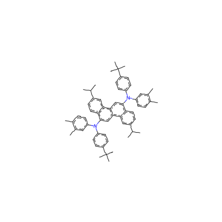 Cc1ccc(N(c2ccc(C(C)(C)C)cc2)c2cc3c4cc(C(C)C)ccc4c(N(c4ccc(C(C)(C)C)cc4)c4ccc(C)c(C)c4)cc3c3cc(C(C)C)ccc23)cc1C